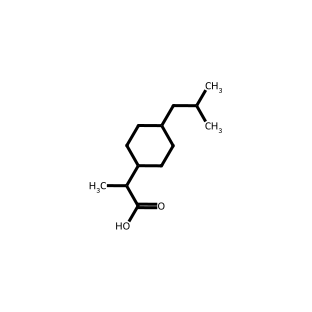 CC(C)CC1CCC(C(C)C(=O)O)CC1